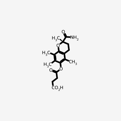 Cc1c(C)c2c(c(C)c1OC(=O)CCC(=O)O)CC[C@@](C)(C(N)=O)O2